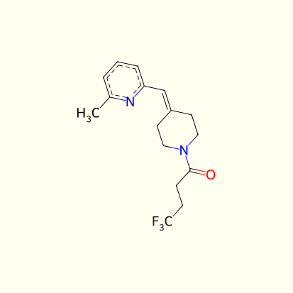 Cc1cccc(C=C2CCN(C(=O)CCC(F)(F)F)CC2)n1